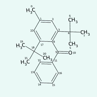 Cc1cc(C(C)(C)C)c(C(=O)c2ccccc2)c(C(C)(C)C)c1